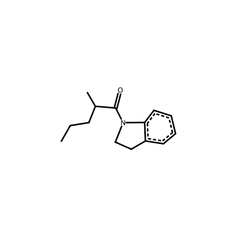 CCCC(C)C(=O)N1CCc2ccccc21